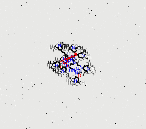 CN1C(C)(C)CC(CCCCNc2nc(OC3CC(C)(C)N(C)C(C)(C)C3)nc(N(CCCN(c3nc(NCCCCC4CC(C)(C)N(C)C(C)(C)C4)nc(OC4CC(C)(C)N(C)C(C)(C)C4)n3)C3CC(C)(C)N(C)C(C)(C)C3)CCCN(c3nc(NCCCCC4CC(C)(C)N(C)C(C)(C)C4)nc(OC4CC(C)(C)N(C)C(C)(C)C4)n3)C3CC(C)(C)N(C)C(C)(C)C3)n2)CC1(C)C